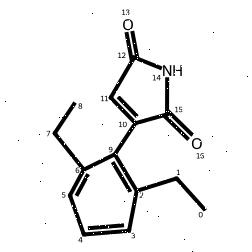 CCc1cccc(CC)c1C1=CC(=O)NC1=O